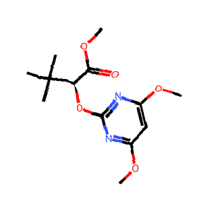 COC(=O)[C@@H](Oc1nc(OC)cc(OC)n1)C(C)(C)C